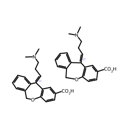 CN(C)CC/C=C1\c2ccccc2COc2ccc(C(=O)O)cc21.CN(C)CC/C=C1\c2ccccc2COc2ccc(C(=O)O)cc21